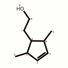 CC1C=CC(C)C1CCO